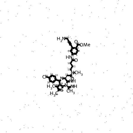 COC(=O)c1ccc(NC(=O)CCCN(C)C(=O)C[C@@H]2N=C(c3ccc(Cl)cc3)c3c(sc(C)c3C)N(C(C)=N)C2=N)cc1C#CCN